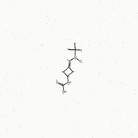 CC(C)(C)[S+]([O-])N=C1CC(NC(=O)O)C1